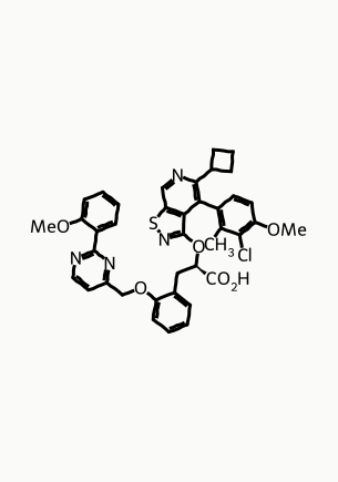 COc1ccccc1-c1nccc(COc2ccccc2C[C@@H](Oc2nsc3cnc(C4CCC4)c(-c4ccc(OC)c(Cl)c4C)c23)C(=O)O)n1